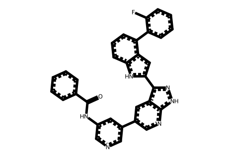 O=C(Nc1cncc(-c2cnc3[nH]nc(-c4cc5c(-c6ccccc6F)cccc5[nH]4)c3c2)c1)c1ccccc1